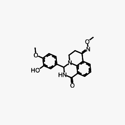 CO/N=C1\CCN2c3c(cccc31)C(=O)NC2c1ccc(OC)c(O)c1